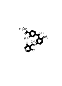 COC(=O)c1ccc(C(=N)c2cc(O[C@H](C)c3c(Cl)cncc3Cl)ccc2N)cc1C